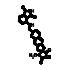 CN1C(=O)NC(=O)C12Cc1cc3ccc(CNc4cccc5c4C(=O)NC5=O)nc3cc1C2